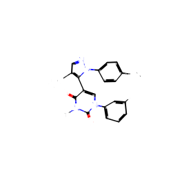 CC(C)n1c(=O)c(-c2c(C(=O)O)cnn2-c2ccc(C#N)cc2)cn(-c2cccc(C(F)(F)F)c2)c1=O